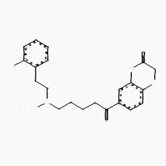 O=C1COc2ccc(C(=O)CCCCN(CCc3ccccc3F)C(=O)O)cc2N1